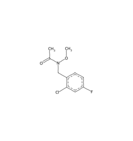 CON(Cc1ccc(F)cc1Cl)C(C)=O